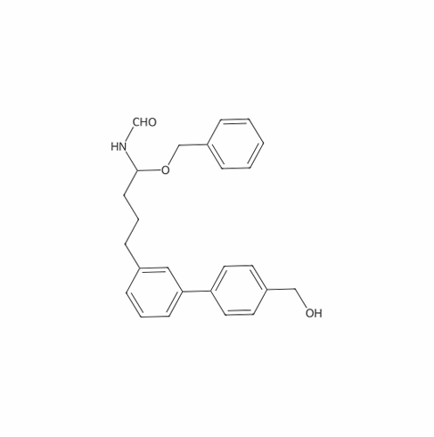 O=CNC(CCCc1cccc(-c2ccc(CO)cc2)c1)OCc1ccccc1